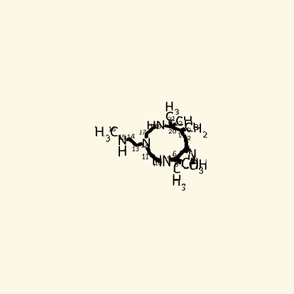 C=C1C/C(=N/O)C(C)(C)NCCN(CCNC)CCNC1(C)C